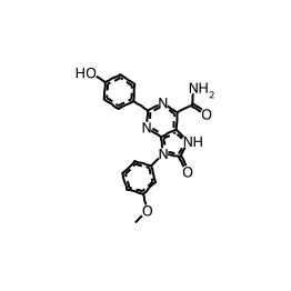 COc1cccc(-n2c(=O)[nH]c3c(C(N)=O)nc(-c4ccc(O)cc4)nc32)c1